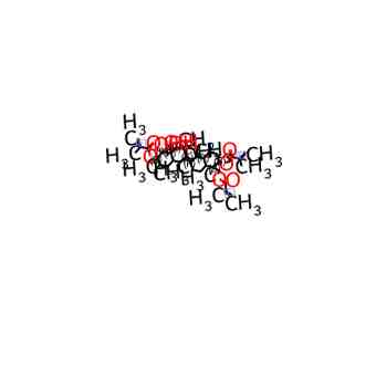 C=CCC1[C@@]2(C)CC[C@H](OC(=O)/C(C)=C/C)[C@](C)(COC(=O)/C(C)=C/C)C2CC[C@@]1(C)[C@@]1(C)CC2CC(C)(C)[C@@H](OC(=O)/C(C)=C/C)[C@H](O)[C@]2(CO)[C@H](O)C1